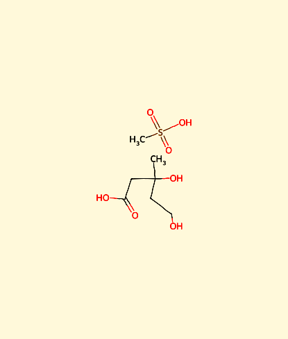 CC(O)(CCO)CC(=O)O.CS(=O)(=O)O